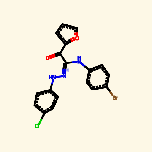 O=C(/C(=N\Nc1ccc(Cl)cc1)Nc1ccc(Br)cc1)c1ccco1